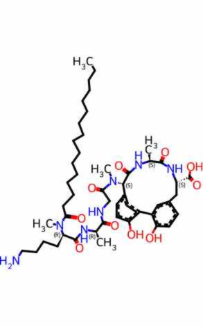 CCCCCCCCCCCCCCCC(=O)N(C)[C@H](CCCCN)C(=O)N[C@H](C)C(=O)NCC(=O)N(C)[C@@H]1C(=O)N[C@@H](C)C(=O)N[C@H](C(=O)O)Cc2ccc(O)c(c2)-c2cc1ccc2O